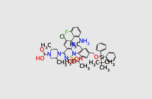 Cc1cc(CO[Si](c2ccccc2)(c2ccccc2)C(C)(C)C)cc(C(C)C)c1N1c2nc(-c3c(N)cccc3F)c(Cl)cc2C(N2C[C@@H](C)N(C(=O)O)C[C@@H]2C)=NS1(O)O